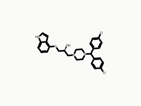 O[C@H](COc1cccc2[nH]ccc12)CN1CCN(C(c2ccc(Cl)cc2)c2ccc(Cl)cc2)CC1